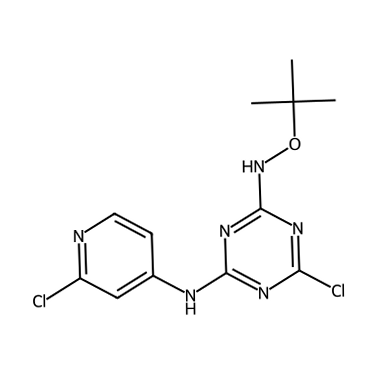 CC(C)(C)ONc1nc(Cl)nc(Nc2ccnc(Cl)c2)n1